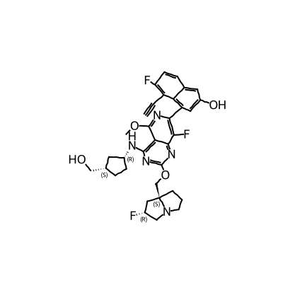 C#Cc1c(F)ccc2cc(O)cc(-c3nc(OC)c4c(N[C@@H]5CC[C@H](CO)C5)nc(OC[C@@]56CCCN5C[C@H](F)C6)nc4c3F)c12